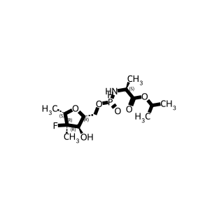 CC(C)OC(=O)[C@H](C)N[PH](=O)OC[C@H]1O[C@@H](C)[C@](C)(F)[C@@H]1O